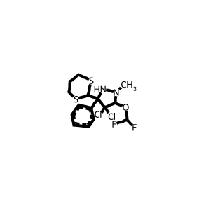 CN1NC(c2ccccc2)(C2SCCCS2)C(Cl)(Cl)C1OC(F)F